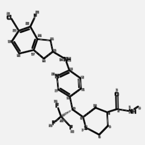 CNC(=O)C1CCSC([C@@H](c2ccc(NC3Cc4ccc(Cl)c(F)c4C3)nc2)C(F)(F)F)C1